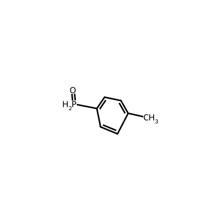 Cc1ccc([PH2]=O)cc1